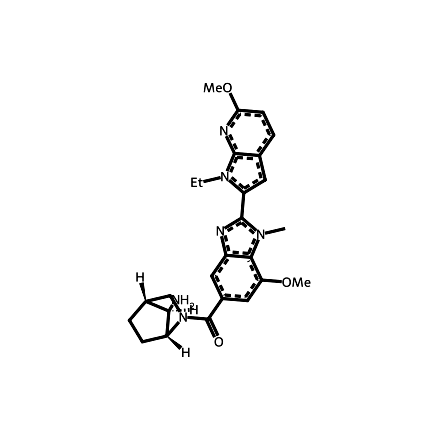 CCn1c(-c2nc3cc(C(=O)N4C[C@H]5CC[C@@H]4[C@@H]5N)cc(OC)c3n2C)cc2ccc(OC)nc21